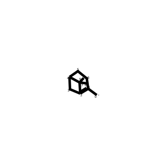 [CH2]C1=C2CC(CC1)C2(C)C